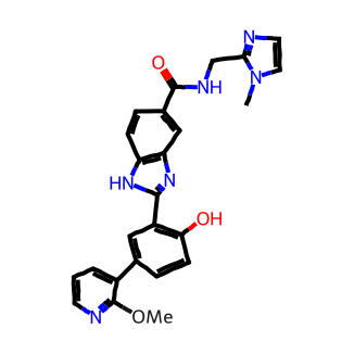 COc1ncccc1-c1ccc(O)c(-c2nc3cc(C(=O)NCc4nccn4C)ccc3[nH]2)c1